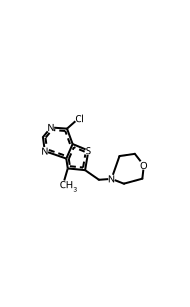 Cc1c(CN2CCOCC2)sc2c(Cl)ncnc12